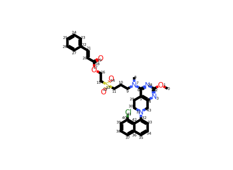 COc1nc2c(c(N(C)CCCS(=O)(=O)CCOC(=O)/C=C/c3ccccc3)n1)CCN(c1cccc3cccc(Cl)c13)C2